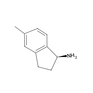 Cc1ccc2c(c1)CC[C@@H]2N